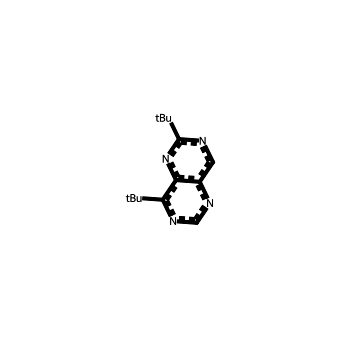 CC(C)(C)c1ncc2ncnc(C(C)(C)C)c2n1